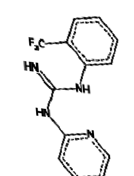 N=C(Nc1ccccn1)Nc1ccccc1C(F)(F)F